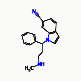 CNCCC(c1ccccc1)n1ccc2ccc(C#N)cc21